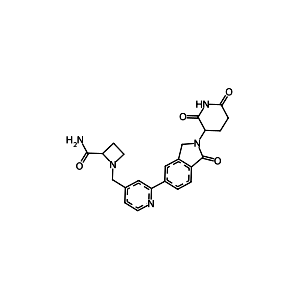 NC(=O)C1CCN1Cc1ccnc(-c2ccc3c(c2)CN(C2CCC(=O)NC2=O)C3=O)c1